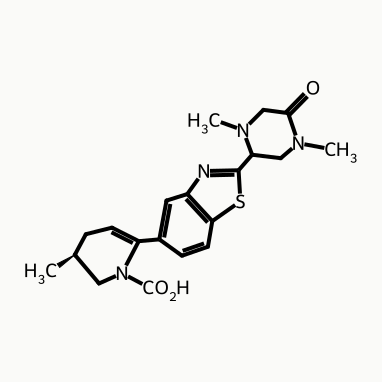 C[C@H]1CC=C(c2ccc3sc(C4CN(C)C(=O)CN4C)nc3c2)N(C(=O)O)C1